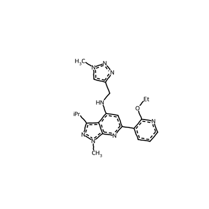 CCOc1ncccc1-c1cc(NCc2cn(C)nn2)c2c(C(C)C)nn(C)c2n1